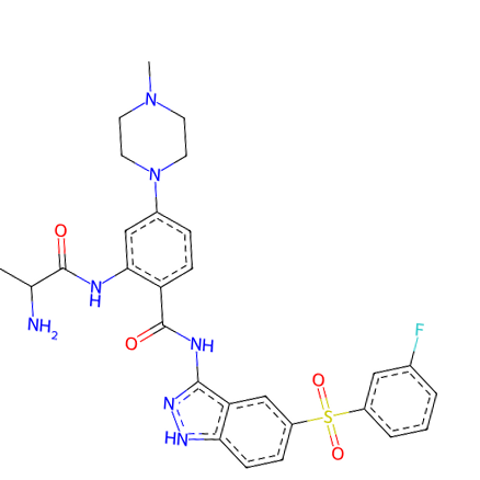 CC(N)C(=O)Nc1cc(N2CCN(C)CC2)ccc1C(=O)Nc1n[nH]c2ccc(S(=O)(=O)c3cccc(F)c3)cc12